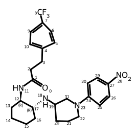 O=C(CCc1ccc(C(F)(F)F)cc1)N[C@@H]1CCCC[C@H]1NC1CCCN(c2ccc([N+](=O)[O-])cc2)C1